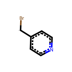 Br[CH]c1ccncc1